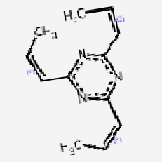 C/C=C\c1nc(/C=C\C)nc(/C=C\C)n1